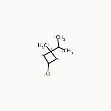 CC(C)C1(C)[CH]C(Cl)C1